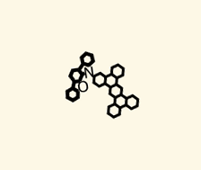 c1ccc2c(c1)oc1c2ccc2c3ccccc3n(C3CCC4C5CC6C7CCCCC7C7CCCCC7C6CC5C5CCCCC5C4C3)c21